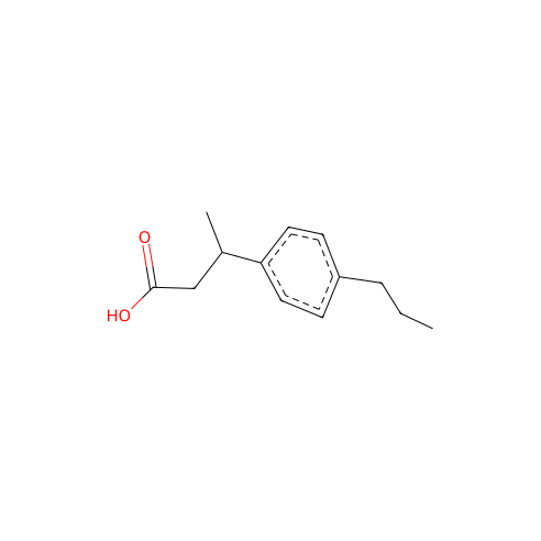 CCCc1ccc(C(C)CC(=O)O)cc1